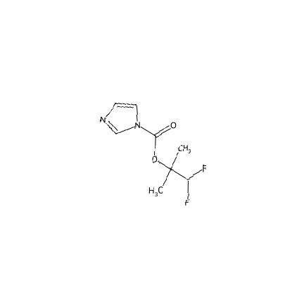 CC(C)(OC(=O)n1ccnc1)C(F)F